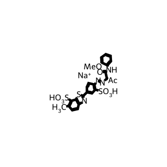 COc1ccccc1NC(=O)C(N=Nc1ccc(-c2nc3ccc(C)c(S(=O)(=O)O)c3s2)cc1S(=O)(=O)O)C(C)=O.[Na+]